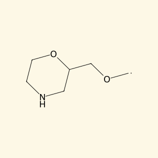 [CH2]OCC1CNCCO1